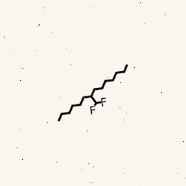 CCCCCCCC(CCCCCC)C(F)F